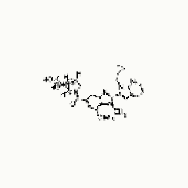 COc1cc(C(=O)N2C[C@H]3C[C@H](O)[C@@H]2[C@@H]3NC(=O)O)cc2nc(-c3cc4cccnc4n3CC3CC3)n(C)c12